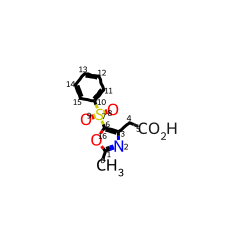 Cc1nc(CC(=O)O)c(S(=O)(=O)c2ccccc2)o1